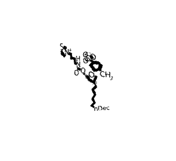 CCCCCCCCCCCCCCCC[C@@H]1CO[C@@H](COC(=O)NCCCC[n+]2ccsc2)C1.Cc1ccc(S(=O)(=O)[O-])cc1